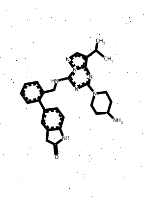 CC(C)c1cnn2c(NCc3ccccc3-c3ccc4c(c3)CC(=O)N4)nc(N3CCC(N)CC3)nc12